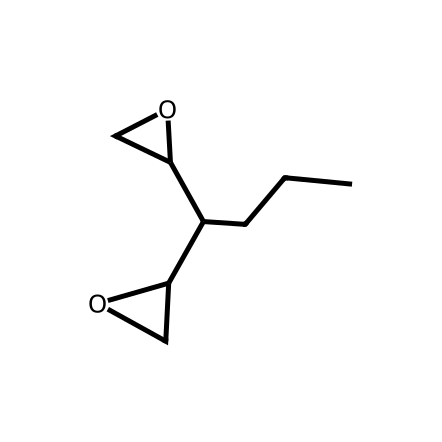 CCCC(C1CO1)C1CO1